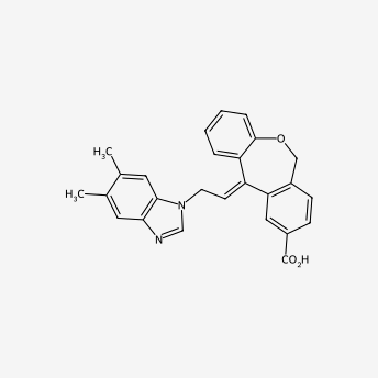 Cc1cc2ncn(CC=C3c4cc(C(=O)O)ccc4COc4ccccc43)c2cc1C